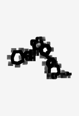 CCC[C@H](O)Cn1nc(-c2ccc(Cl)c(C(=O)NCC3(O)CCCCCC3)c2)cc1C